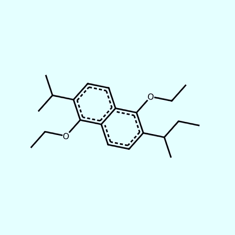 CCOc1c(C(C)C)ccc2c(OCC)c(C(C)CC)ccc12